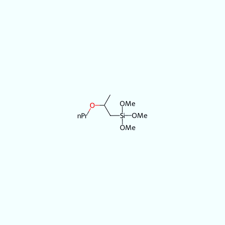 CCCOC(C)C[Si](OC)(OC)OC